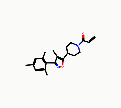 C=CC(=O)N1CCC(c2onc(-c3c(C)cc(C)cc3C)c2C)CC1